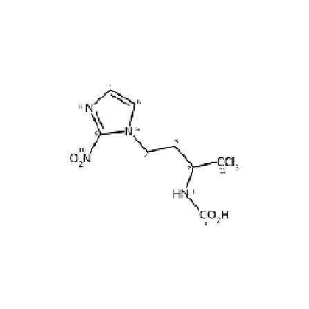 O=C(O)NC(CCn1ccnc1[N+](=O)[O-])C(Cl)(Cl)Cl